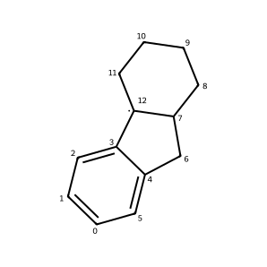 c1ccc2c(c1)CC1CCCC[C]21